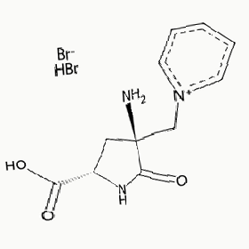 Br.N[C@]1(C[n+]2ccccc2)C[C@@H](C(=O)O)NC1=O.[Br-]